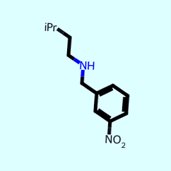 CC(C)CCNCc1cccc([N+](=O)[O-])c1